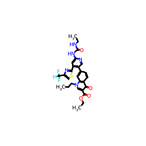 CCCn1cc(C(=O)OCC)c(=O)c2ccc(-c3cnc(NC(=O)NCC)cc3-c3nc(C(F)(F)F)cs3)cc21